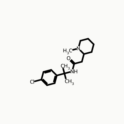 CN1CCCCC1CC(=O)NC(C)(C)c1ccc(Cl)cc1